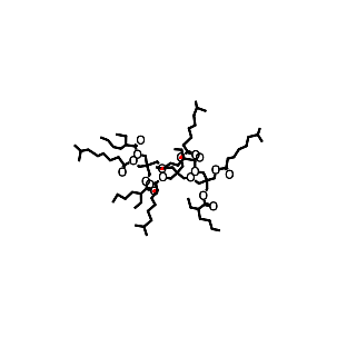 CCCCC(CC)C(=O)OCC(COCC(COCC(COC(=O)CCCCCC(C)C)(COC(=O)C(CC)CCCC)COC(=O)C(CC)CCCC)(COC(=O)CCCCCC(C)C)COC(=O)CCCCCC(C)C)(COC(=O)CCCCCC(C)C)COC(=O)C(CC)CCCC